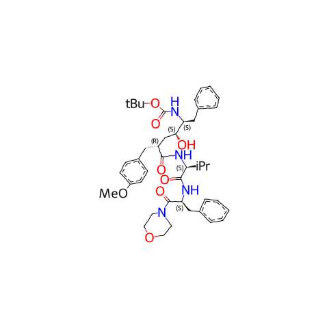 COc1ccc(C[C@H](C[C@H](O)[C@H](Cc2ccccc2)NC(=O)OC(C)(C)C)C(=O)N[C@H](C(=O)N[C@@H](Cc2ccccc2)C(=O)N2CCOCC2)C(C)C)cc1